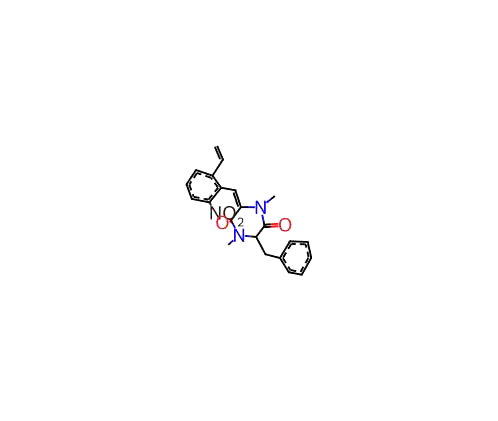 C=Cc1cccc([N+](=O)[O-])c1C=C1C(=O)N(C)C(Cc2ccccc2)C(=O)N1C